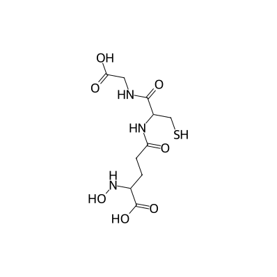 O=C(O)CNC(=O)C(CS)NC(=O)CCC(NO)C(=O)O